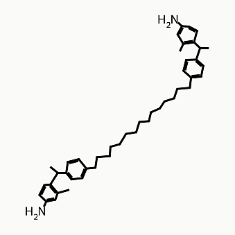 Cc1cc(N)ccc1C(C)c1ccc(CCCCCCCCCCCCCCCc2ccc(C(C)c3ccc(N)cc3C)cc2)cc1